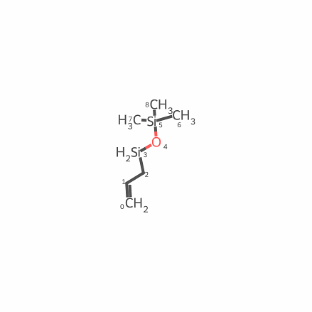 C=CC[SiH2]O[Si](C)(C)C